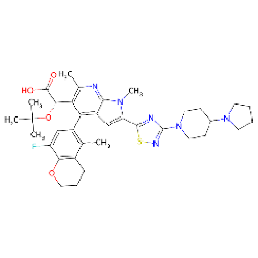 Cc1nc2c(cc(-c3nc(N4CCC(N5CCCC5)CC4)ns3)n2C)c(-c2cc(F)c3c(c2C)CCCO3)c1[C@H](OC(C)(C)C)C(=O)O